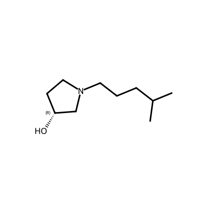 CC(C)CCCN1CC[C@@H](O)C1